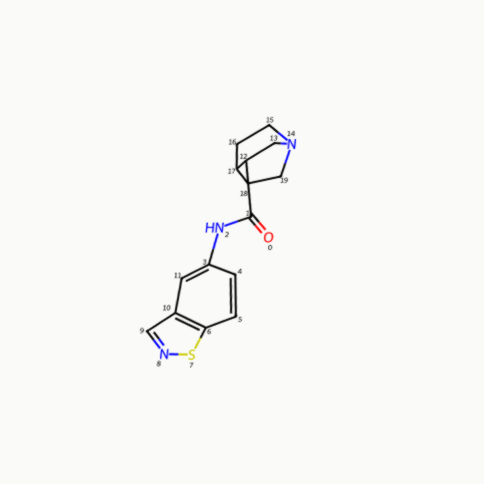 O=C(Nc1ccc2sncc2c1)C1CN2CCC1CC2